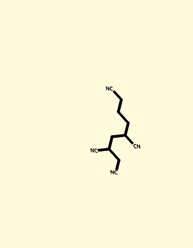 N#CCCCC(C#N)CC(C#N)CC#N